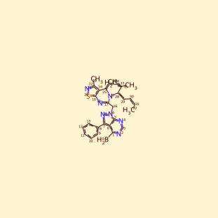 Bc1ncnc2c1c(-c1ccccc1)nn2CC1=Nc2snc(C)c2C(=C)N1/C(=C/C=C\C)C(=C)C